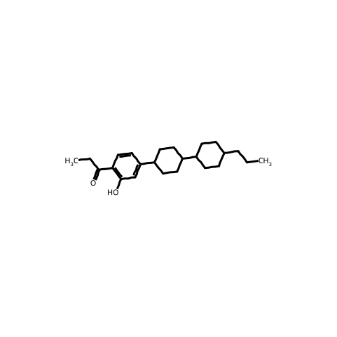 CCCC1CCC(C2CCC(c3ccc(C(=O)CC)c(O)c3)CC2)CC1